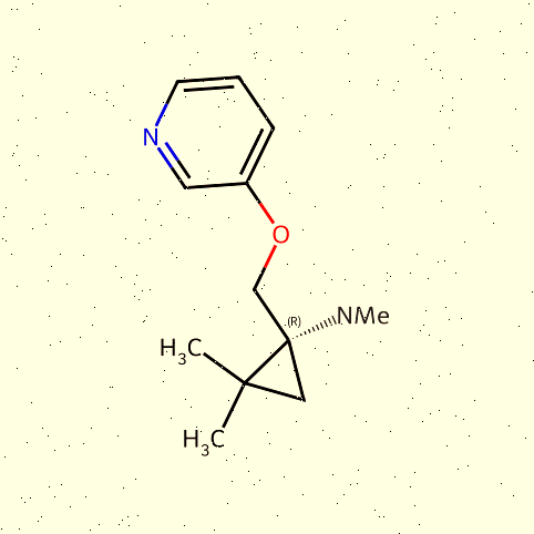 CN[C@]1(COc2cccnc2)CC1(C)C